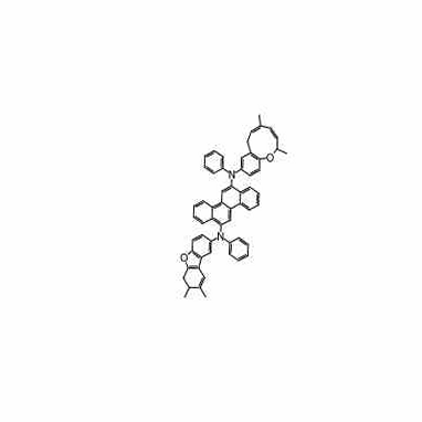 CC1=Cc2c(oc3ccc(N(c4ccccc4)c4cc5c6ccccc6c(N(c6ccccc6)c6ccc7c(c6)C/C=C(C)\C=C/C(C)O7)cc5c5ccccc45)cc23)CC1C